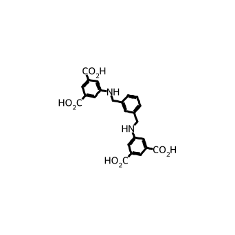 O=C(O)c1cc(NCc2cccc(CNc3cc(C(=O)O)cc(C(=O)O)c3)c2)cc(C(=O)O)c1